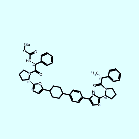 C[C@@H](C(=O)N1CCC[C@H]1c1ncc(-c2ccc(C3CCC(c4cnc([C@@H]5CCCN5C(=O)[C@H](NC(=O)OC(C)(C)C)c5ccccc5)o4)CC3)cc2)[nH]1)c1ccccc1